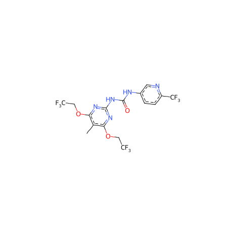 Cc1c(OCC(F)(F)F)nc(NC(=O)Nc2ccc(C(F)(F)F)nc2)nc1OCC(F)(F)F